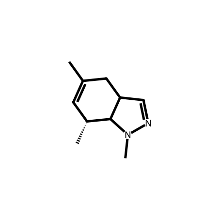 CC1=C[C@@H](C)C2C(C=NN2C)C1